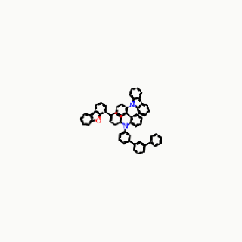 C1=CC(N(c2cccc(-c3cccc(-c4ccccc4)c3)c2)c2ccccc2-c2ccccc2-n2c3ccccc3c3ccccc32)CC=C1c1cccc2c1oc1ccccc12